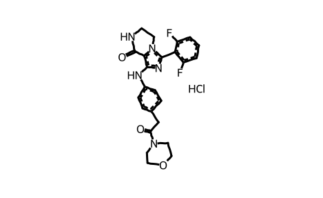 Cl.O=C1NCCn2c(-c3c(F)cccc3F)nc(Nc3ccc(CC(=O)N4CCOCC4)cc3)c21